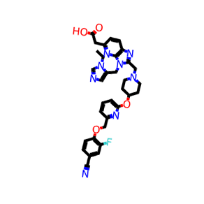 CCn1cncc1Cn1c(CN2CCC(Oc3cccc(COc4ccc(C#N)cc4F)n3)CC2)nc2ccc(CC(=O)O)nc21